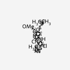 COCCOc1c(OCCCN(C)C)ccc2c(Nc3ccc(Sc4nccn4C)c(Cl)c3)c(C#N)cnc12